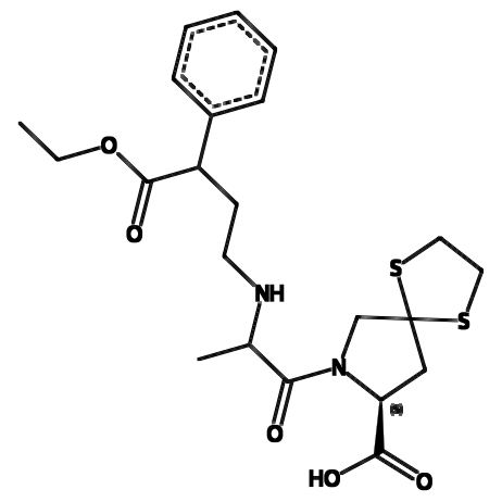 CCOC(=O)C(CCNC(C)C(=O)N1CC2(C[C@H]1C(=O)O)SCCS2)c1ccccc1